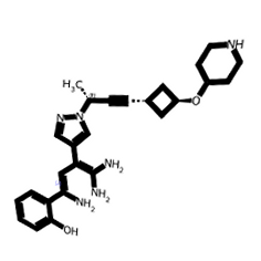 C[C@H](C#C[C@H]1C[C@H](OC2CCNCC2)C1)n1cc(C(/C=C(\N)c2ccccc2O)=C(N)N)cn1